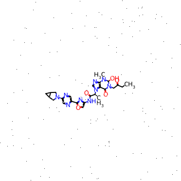 CCC(=O)CN1C(=O)c2c(ncn2[C@@H](C)C(=O)Nc2coc(-c3cnc(N4CC5CC5C4)cn3)n2)N(C)C1O